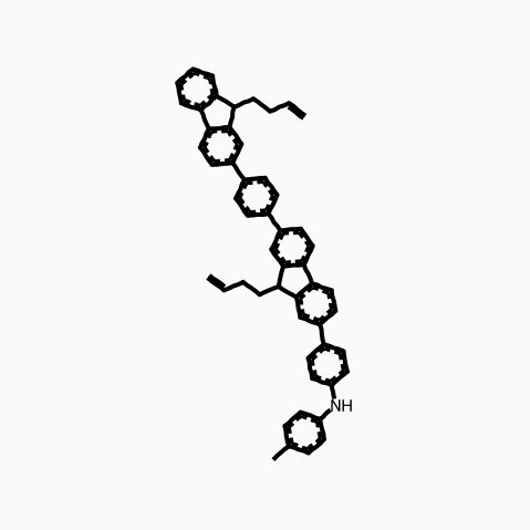 C=CCCC1c2ccccc2-c2ccc(-c3ccc(-c4ccc5c(c4)C(CCC=C)c4cc(-c6ccc(Nc7ccc(C)cc7)cc6)ccc4-5)cc3)cc21